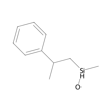 CC(C[SiH](C)[O])c1ccccc1